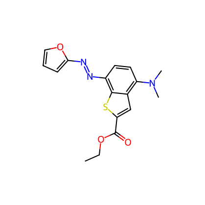 CCOC(=O)c1cc2c(N(C)C)ccc(/N=N/c3ccco3)c2s1